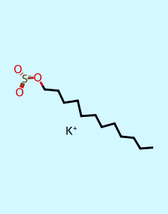 CCCCCCCCCCCCO[S-](=O)=O.[K+]